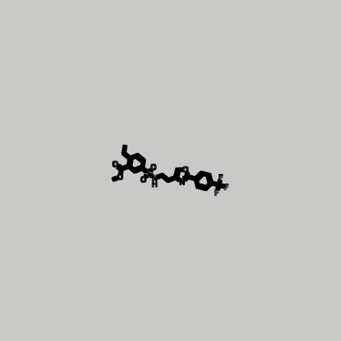 CCc1ccc(S(=O)(=O)NCCc2coc(-c3ccc(C(F)(F)F)cc3)n2)cc1C(=O)OC